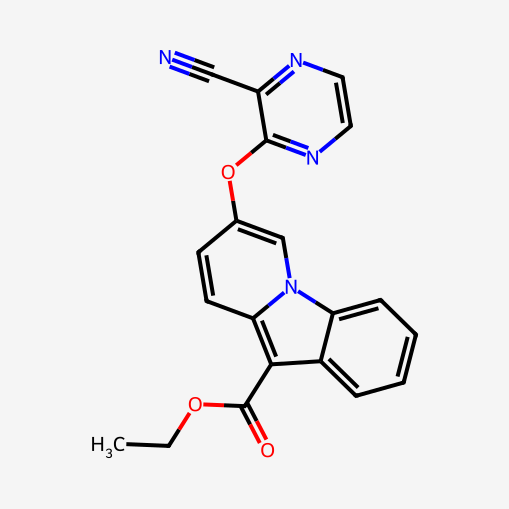 CCOC(=O)c1c2ccccc2n2cc(Oc3nccnc3C#N)ccc12